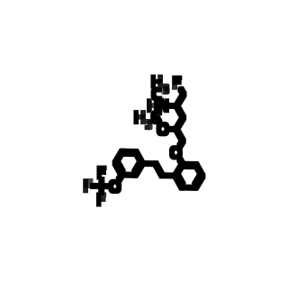 CNC(CF)CC(COc1ccccc1CCc1cccc(OC(F)(F)F)c1)OC